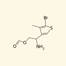 Cc1c(C(N)COC=O)csc1Br